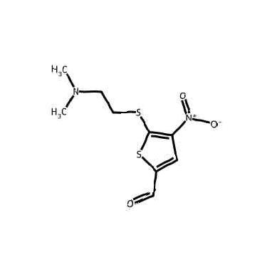 CN(C)CCSc1sc(C=O)cc1[N+](=O)[O-]